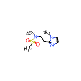 CC(C)(C)N(CCc1nccn1C(C)(C)C)S(C)(=O)=O